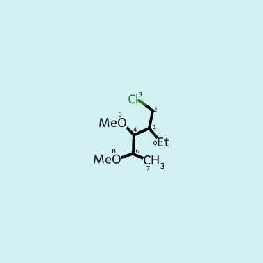 CCC(CCl)C(OC)C(C)OC